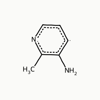 Cc1ncc[c]c1N